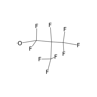 [O]C(F)(F)C(F)(C(F)(F)F)C(F)(F)F